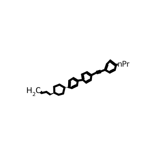 C=CCC[C@H]1CC[C@H](c2ccc(-c3ccc(C#Cc4ccc(CCC)cc4)cc3)cc2)CC1